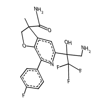 CC1(C(N)=O)COc2c1cc(C(O)(CN)C(F)(F)F)nc2-c1ccc(F)cc1